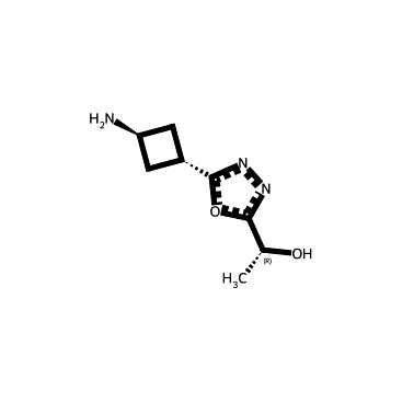 C[C@@H](O)c1nnc([C@H]2C[C@H](N)C2)o1